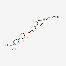 C=CCCCOc1ccc(-c2ccc(COc3ccc(-c4ccc(C(O)CCC)cc4)c(F)c3F)cc2)c(F)c1F